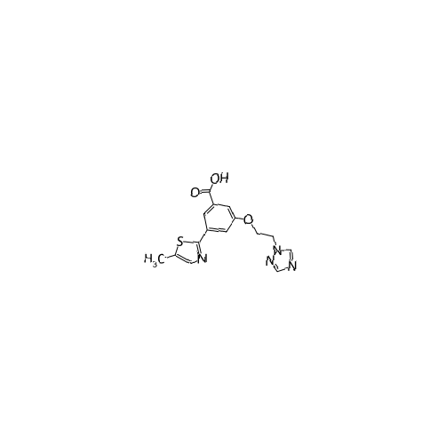 Cc1cnc(-c2cc(OCCn3cncn3)cc(C(=O)O)c2)s1